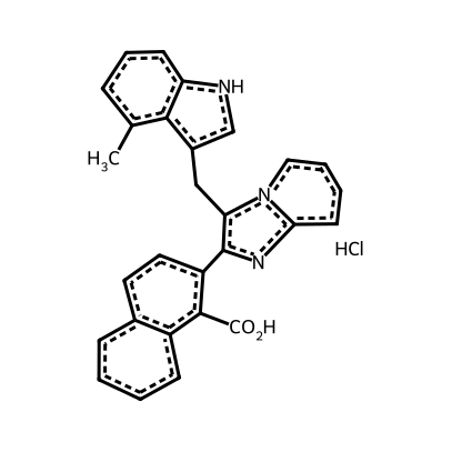 Cc1cccc2[nH]cc(Cc3c(-c4ccc5ccccc5c4C(=O)O)nc4ccccn34)c12.Cl